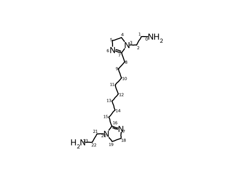 NCCN1CCN=C1CCCCCCCCC1=NCCN1CCN